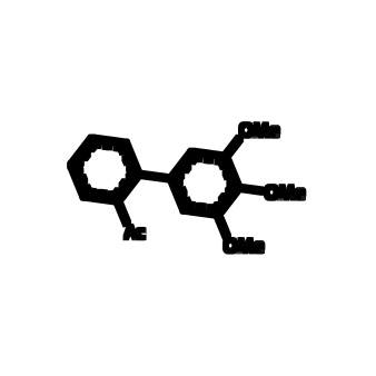 COc1cc(-c2ccccc2C(C)=O)cc(OC)c1OC